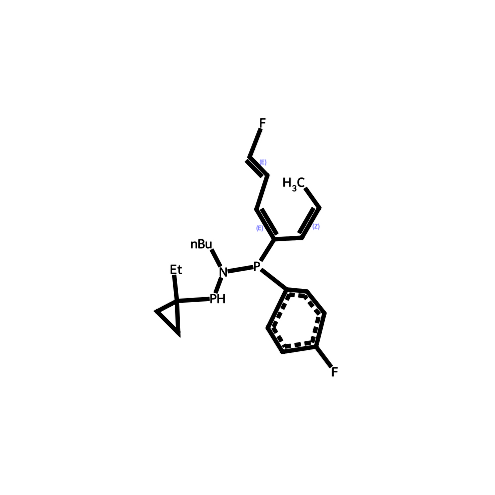 C\C=C/C(=C\C=C\F)P(c1ccc(F)cc1)N(CCCC)PC1(CC)CC1